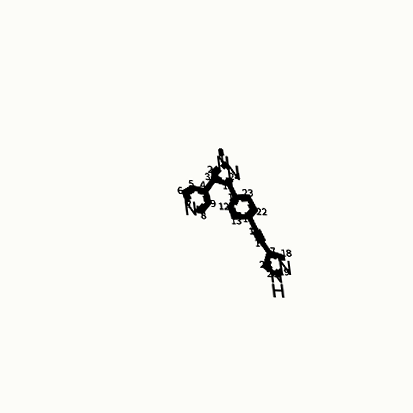 Cn1cc(-c2ccncc2)c(-c2ccc(C#Cc3cn[nH]c3)cc2)n1